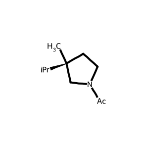 CC(=O)N1CC[C@](C)(C(C)C)C1